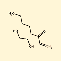 C=CC(=O)CCCCC.OCCO